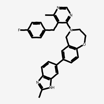 Cc1nc2ccc(-c3ccc4c(c3)CN(c3ncnc(C)c3Cc3ccc(F)cc3)CCO4)cc2[nH]1